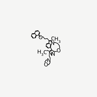 CCc1c2c(nn1CCN1CCOCC1)COCCCCn1c(C)c(CCCOc3cccc4ccccc34)c3cccc-2c31